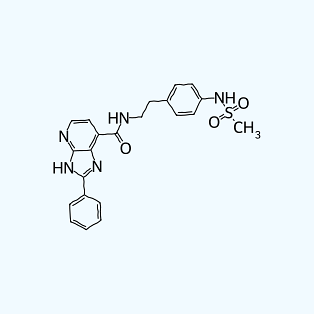 CS(=O)(=O)Nc1ccc(CCNC(=O)c2ccnc3[nH]c(-c4ccccc4)nc23)cc1